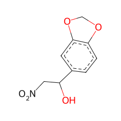 O=[N+]([O-])CC(O)c1ccc2c(c1)OCO2